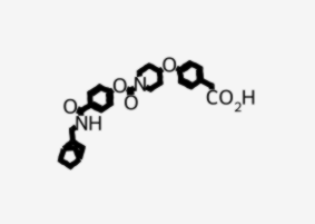 O=C(O)Cc1ccc(OC2CCN(C(=O)Oc3ccc(C(=O)NCC4CC5CCC4C5)cc3)CC2)cc1